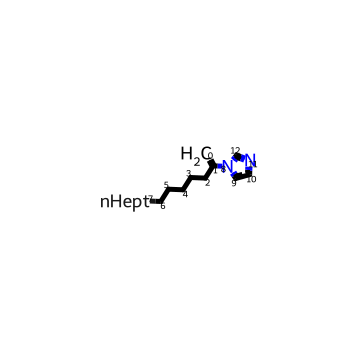 C=C(CCCCCCCCCCCC)n1ccnc1